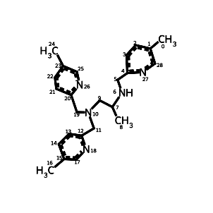 Cc1ccc(CNC(C)CN(Cc2ccc(C)cn2)Cc2ccc(C)cn2)nc1